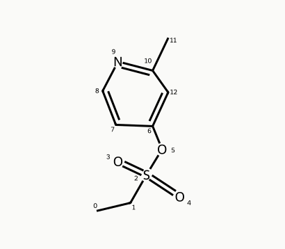 CCS(=O)(=O)Oc1ccnc(C)c1